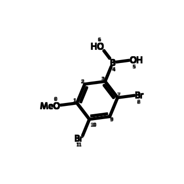 COc1cc(B(O)O)c(Br)cc1Br